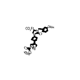 CCOC(=O)C1CN(c2ccc(-c3cnn(C(=O)OC(C)(C)C)c3)cc2)C(=O)N1Cc1cccc(OC)c1